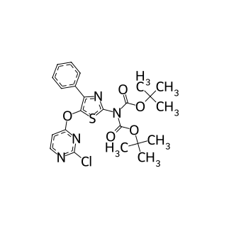 CC(C)(C)OC(=O)N(C(=O)OC(C)(C)C)c1nc(-c2ccccc2)c(Oc2ccnc(Cl)n2)s1